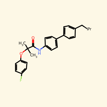 CC(C)Cc1ccc(-c2ccc(NC(=O)C(C)(C)Oc3ccc(F)cc3)cc2)cc1